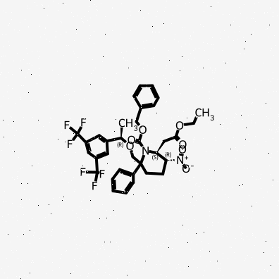 CCOC(=O)C[C@H]1[C@H]([N+](=O)[O-])CCC(CO[C@H](C)c2cc(C(F)(F)F)cc(C(F)(F)F)c2)(c2ccccc2)N1C(=O)OCc1ccccc1